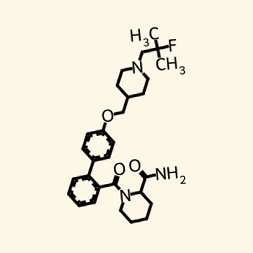 CC(C)(F)CN1CCC(COc2ccc(-c3ccccc3C(=O)N3CCCCC3C(N)=O)cc2)CC1